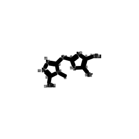 Cn1c(Sc2nc(C(C)(C)C)c(Br)s2)nnc1C(C)(C)C